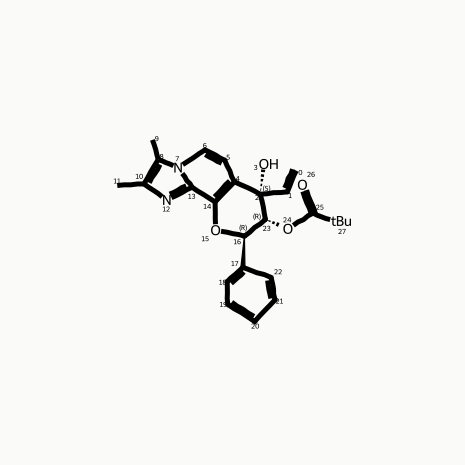 C=C[C@]1(O)c2ccn3c(C)c(C)nc3c2O[C@H](c2ccccc2)[C@H]1OC(=O)C(C)(C)C